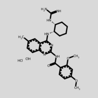 COc1ccc(C(=O)Nc2nc(N[C@H]3CCCC[C@H]3NC(=N)N)c3cc(C)ccc3n2)c(OC)c1.Cl.Cl